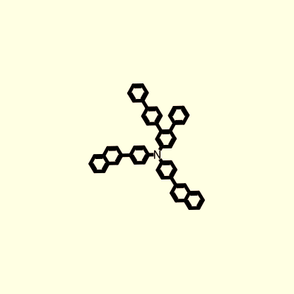 c1ccc(-c2ccc(-c3cc(N(c4ccc(-c5ccc6ccccc6c5)cc4)c4ccc(-c5ccc6ccccc6c5)cc4)ccc3-c3ccccc3)cc2)cc1